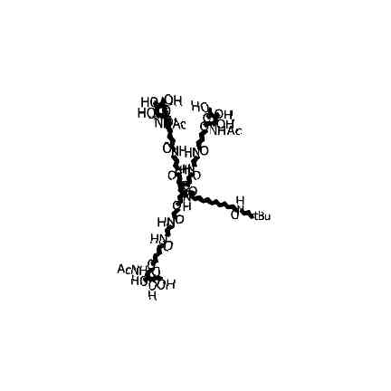 CC(=O)NC1C(OCCCCC(=O)NCCCNC(=O)CCOCCC(COCCC(=O)NCCCNC(=O)CCCCOC2OC(CO)C(O)C(O)C2NC(C)=O)(COCCC(=O)NCCCNC(=O)CCCCOC2OC(CO)C(O)C(O)C2NC(C)=O)NC(=O)CCCCCCCCCCC(=O)NCCCC(C)(C)C)OC(CO)C(O)C1O